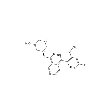 COc1cc(F)ccc1-c1nnc(N[C@@H]2C[C@@H](F)CN(C)C2)c2cnccc12